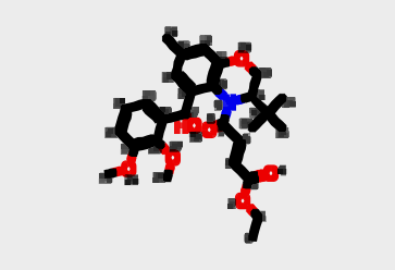 CCOC(=O)C=CC(=O)N1c2c(cc(C)cc2C(O)c2cccc(OC)c2OC)OC[C@H]1C(C)(C)C